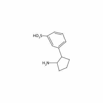 NC1CCCC1c1cccc(S(=O)(=O)O)c1